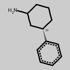 NC1CCC[C@H](c2ccccc2)C1